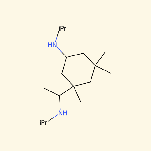 CC(C)NC1CC(C)(C)CC(C)(C(C)NC(C)C)C1